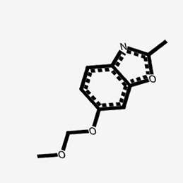 COCOc1ccc2nc(C)oc2c1